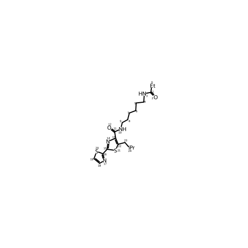 CCC(=O)NCCCCCCNC(=O)c1nc(-c2nccs2)sc1CC(C)C